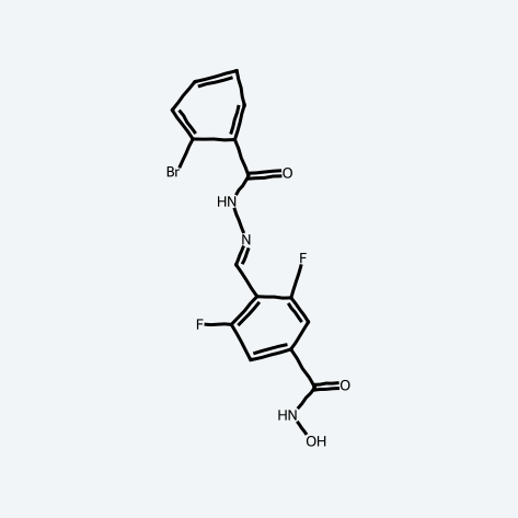 O=C(NO)c1cc(F)c(C=NNC(=O)c2ccccc2Br)c(F)c1